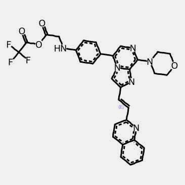 O=C(CNc1ccc(-c2cnc(N3CCOCC3)c3nc(/C=C/c4ccc5ccccc5n4)cn23)cc1)OC(=O)C(F)(F)F